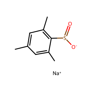 Cc1cc(C)c(S(=O)[O-])c(C)c1.[Na+]